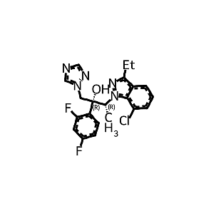 CCc1nn([C@H](C)[C@](O)(Cn2cncn2)c2ccc(F)cc2F)c2c(Cl)cccc12